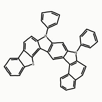 c1ccc(-n2c3cc4c(cc3c3c5ccccc5ccc32)c2c3sc5ccccc5c3ccc2n4-c2ccccc2)cc1